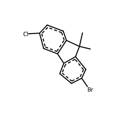 CC1(C)c2ccc(Cl)cc2-c2ccc(Br)cc21